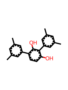 Cc1cc(C)cc(-c2ccc(O)c(-c3cc(C)cc(C)c3)c2O)c1